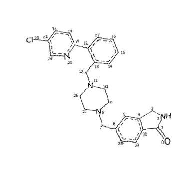 O=C1NCc2cc(CN3CCN(Cc4ccccc4-c4ccc(Cl)cn4)CC3)ccc21